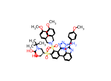 COc1ccc(CN(Cc2ccc(OC)cc2)S(=O)(=O)c2c(S(=O)(=O)[C@@H](CO)CN(C(=O)O)C(C)(C)C)ccc(-c3cccc4nc(N)[nH]c34)c2-c2nnn(Cc3ccc(OC)cc3)n2)cc1